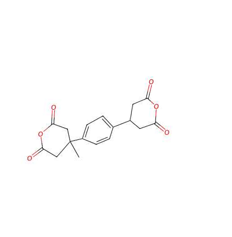 CC1(c2ccc(C3CC(=O)OC(=O)C3)cc2)CC(=O)OC(=O)C1